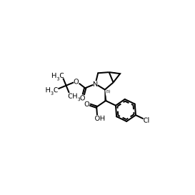 CC(C)(C)OC(=O)N1CC2CC2[C@H]1C(C(=O)O)c1ccc(Cl)cc1